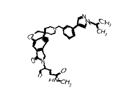 CNC(=O)CCC(C=O)N1Cc2cc3c(cc2C1=O)OCC31CCN(Cc2cccc(-c3cnn(C(C)C)c3)c2)CC1